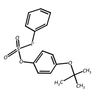 CC(C)(C)Oc1ccc(OS(=O)(=O)[I+]c2ccccc2)cc1